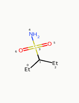 CCC(CC)S(N)(=O)=O